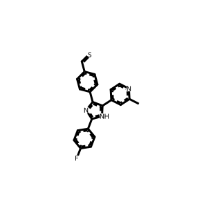 Cc1cc(-c2[nH]c(-c3ccc(F)cc3)nc2-c2ccc(C=S)cc2)ccn1